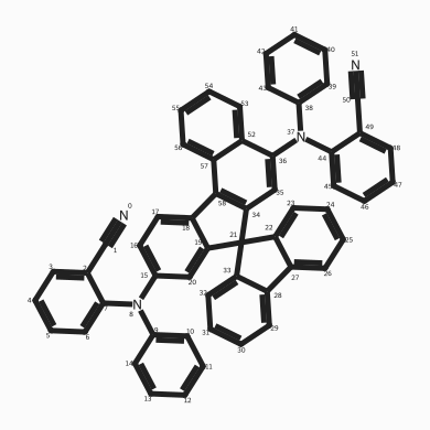 N#Cc1ccccc1N(c1ccccc1)c1ccc2c(c1)C1(c3ccccc3-c3ccccc31)c1cc(N(c3ccccc3)c3ccccc3C#N)c3ccccc3c1-2